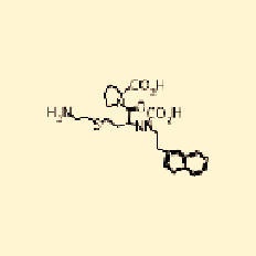 NCCSCC[C@H](NC(CCc1ccc2ccccc2c1)C(=O)O)C(=O)N1CCC[C@H]1C(=O)O